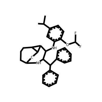 CC(C)c1ccc(OC(F)F)c(NC2C(C(c3ccccc3)c3ccccc3)NC3CCCC4C(C3)C42)c1